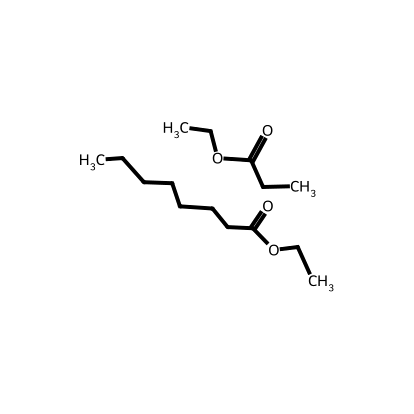 CCCCCCCC(=O)OCC.CCOC(=O)CC